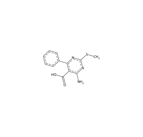 CSc1nc(N)c(C(=O)O)c(-c2ccccc2)n1